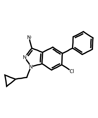 [N]c1nn(CC2CC2)c2cc(Cl)c(-c3ccccc3)cc12